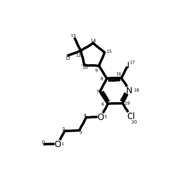 COCCCOc1cc(C2[CH]C(C)(C)CC2)c(I)nc1Cl